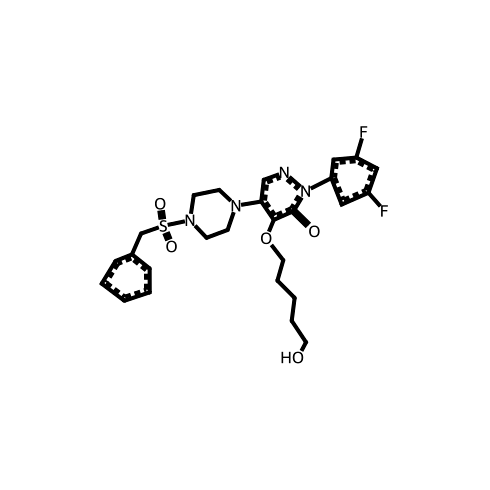 O=c1c(OCCCCCO)c(N2CCN(S(=O)(=O)Cc3ccccc3)CC2)cnn1-c1cc(F)cc(F)c1